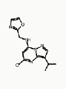 CC(C)c1cnn2c(NCc3ncco3)cc(Cl)nc12